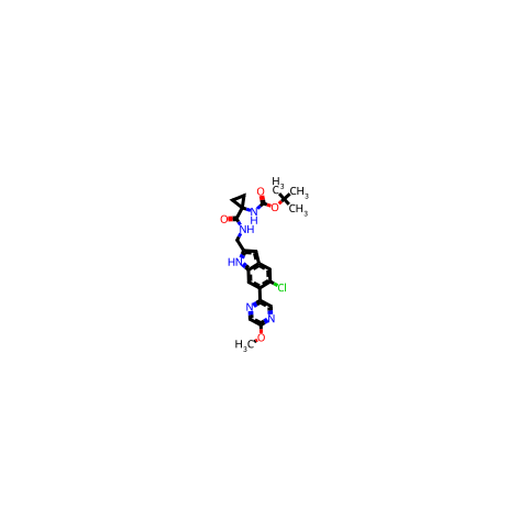 COc1cnc(-c2cc3[nH]c(CNC(=O)C4(NC(=O)OC(C)(C)C)CC4)cc3cc2Cl)cn1